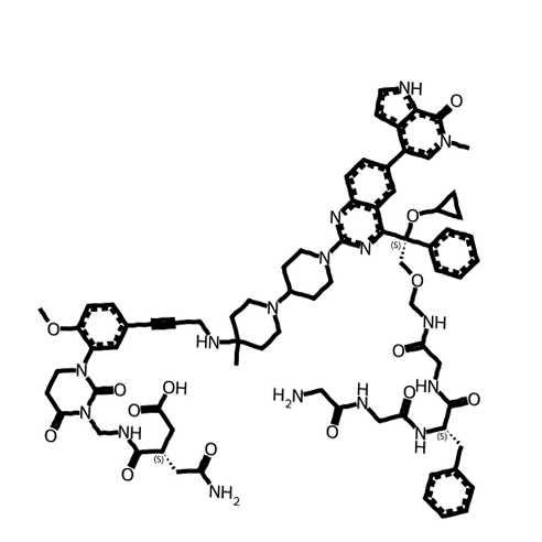 COc1ccc(C#CCNC2(C)CCN(C3CCN(c4nc([C@@](COCNC(=O)CNC(=O)[C@H](Cc5ccccc5)NC(=O)CNC(=O)CN)(OC5CC5)c5ccccc5)c5cc(-c6cn(C)c(=O)c7[nH]ccc67)ccc5n4)CC3)CC2)cc1N1CCC(=O)N(CNC(=O)[C@@H](CC(N)=O)CC(=O)O)C1=O